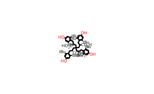 CC(C)(C)c1cc(O)cc(C(C)(C)C)c1CC(CC(CC(Cc1c(C(C)(C)C)cc(O)cc1C(C)(C)C)C(=O)O)(CC(Cc1c(C(C)(C)C)cc(O)cc1C(C)(C)C)C(=O)O)CC(Cc1c(C(C)(C)C)cc(O)cc1C(C)(C)C)C(=O)O)C(=O)O